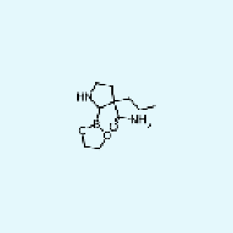 CCCC1(C(N)=O)CCNC1B1OCCO1